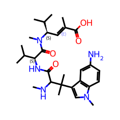 CNC(C(=O)N[C@H](C(=O)N(C)[C@H](/C=C(\C)C(=O)O)C(C)C)C(C)C)C(C)(C)c1cn(C)c2ccc(N)cc12